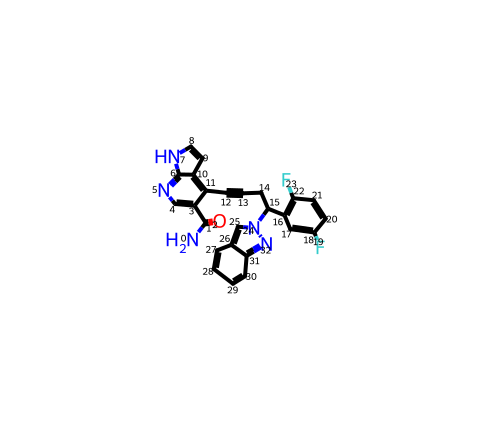 NC(=O)c1cnc2[nH]ccc2c1C#CCC(c1cc(F)ccc1F)n1cc2ccccc2n1